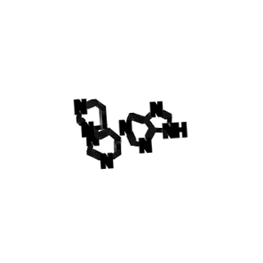 c1cncnc1.c1cncnc1.c1ncc2nc[nH]c2n1